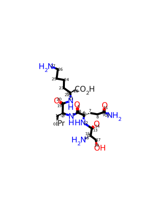 CC(C)C[C@H](NC(=O)[C@H](CCC(N)=O)NC(=O)[C@@H](N)CO)C(=O)N[C@@H](CCCCN)C(=O)O